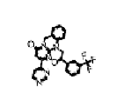 O=C(CN1c2ccccc2Cn2c1nc(-c1ccncn1)cc2=O)c1cccc(C(F)(F)F)c1